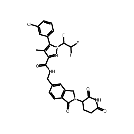 Cc1c(C(=O)NCc2ccc3c(c2)CN(C2CCC(=O)NC2=O)C3=O)nn(C(F)C(F)F)c1-c1cccc(Cl)c1